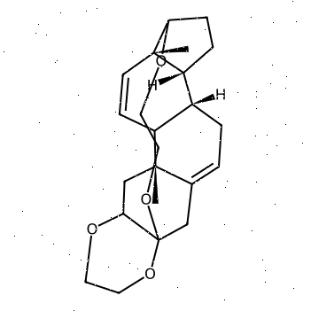 C[C@]12CC3OCCOC34CC1=CC[C@@H]1C2C=C[C@]2(C)C(CC[C@H]12)OCCO4